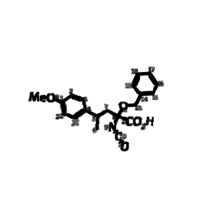 COc1ccc(C(C)CC(N=C=O)(OCc2ccccc2)C(=O)O)cc1